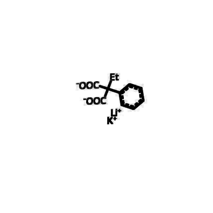 CCC(C(=O)[O-])(C(=O)[O-])c1ccccc1.[K+].[Li+]